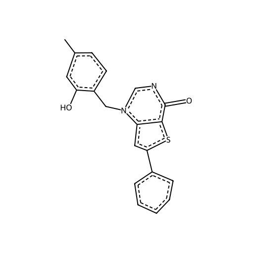 Cc1ccc(Cn2cnc(=O)c3sc(-c4ccccc4)cc32)c(O)c1